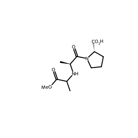 COC(=O)C(C)N[C@@H](C)C(=O)N1CCC[C@H]1C(=O)O